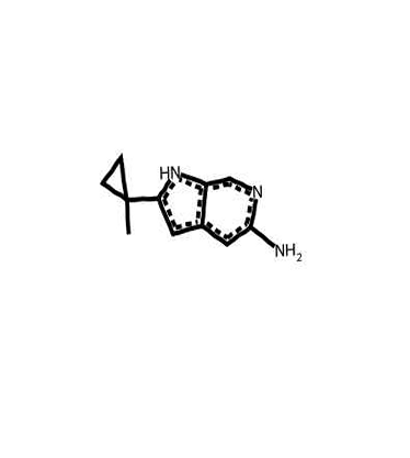 CC1(c2cc3cc(N)ncc3[nH]2)CC1